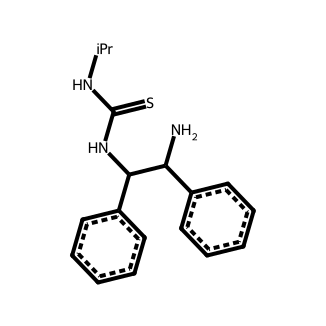 CC(C)NC(=S)NC(c1ccccc1)C(N)c1ccccc1